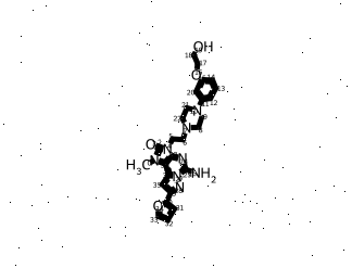 Cn1c(=O)n(CCN2CCN(c3cccc(OCCO)c3)CC2)c2nc(N)n3nc(-c4ccco4)cc3c21